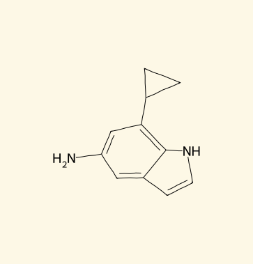 Nc1cc(C2CC2)c2[nH]ccc2c1